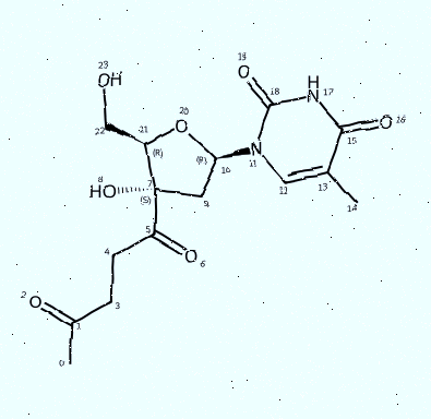 CC(=O)CCC(=O)[C@]1(O)C[C@H](n2cc(C)c(=O)[nH]c2=O)O[C@@H]1CO